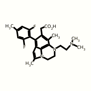 Cc1cc(F)c(-c2c(CC(=O)O)c(C)c3c4c2cc(C)n4CCN3CCN(C)C)c(F)c1